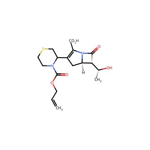 C=CCOC(=O)N1CCSCC1C1=C(C(=O)O)N2C(=O)[C@H]([C@@H](C)O)[C@H]2C1